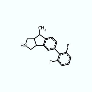 CC1c2ccc(-c3c(F)cccc3F)cc2C2CNCC12